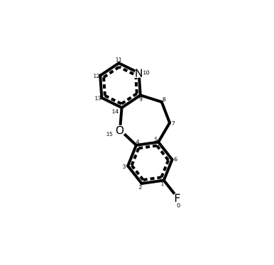 Fc1ccc2c(c1)CCc1ncccc1O2